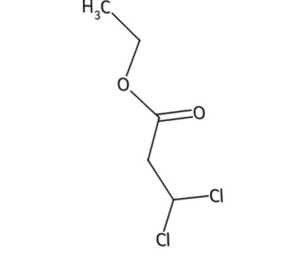 CCOC(=O)CC(Cl)Cl